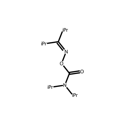 CC(C)C(=NOC(=O)N(C(C)C)C(C)C)C(C)C